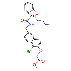 CCCCc1oc2ccccc2c1C(=O)NCc1ccc2c(Br)c(OCC(=O)OC)ccc2c1